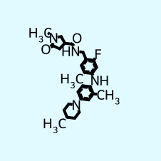 Cc1cc(N2CCC(C)CC2)ccc1Nc1cc(F)c(CNC(=O)C2CC(=O)N(C)C2)cc1C